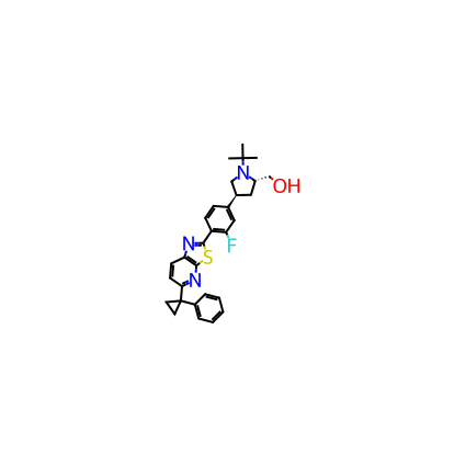 CC(C)(C)N1C[C@H](c2ccc(-c3nc4ccc(C5(c6ccccc6)CC5)nc4s3)c(F)c2)C[C@H]1CO